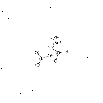 [O-]B([O-])[O-].[O-]B([O-])[O-].[Sc+3].[Y+3]